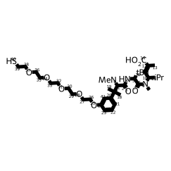 CNC(C(=O)NC(C(=O)N(C)C(/C=C(\C)C(=O)O)C(C)C)C(C)(C)C)C(C)(C)c1cccc(OCCOCCOCCOCCOCCS)c1